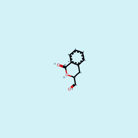 O=[C]C1Cc2ccccc2C(=O)O1